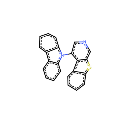 c1ccc2c(c1)sc1cncc(-n3c4ccccc4c4ccccc43)c12